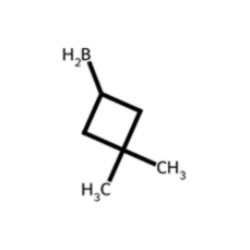 BC1CC(C)(C)C1